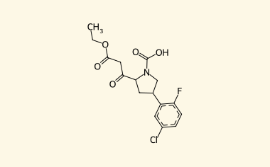 CCOC(=O)CC(=O)C1CC(c2cc(Cl)ccc2F)CN1C(=O)O